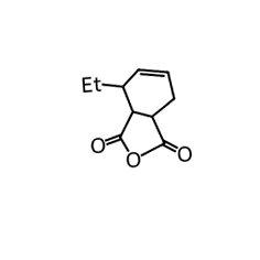 CCC1C=CCC2C(=O)OC(=O)C12